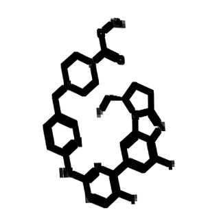 CC(C)(C)OC(=O)N1CCN(Cc2ccc(Nc3ncc(F)c(-c4cc(F)c5nc6n(c5c4)[C@H](CF)CC6)n3)nc2)CC1